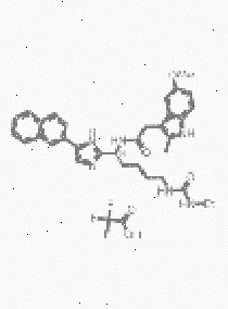 CCNC(=O)NCCCC[C@H](NC(=O)Cc1c(C)[nH]c2ccc(OC)cc12)c1ncc(-c2ccc3ccccc3c2)[nH]1.O=C(O)C(F)(F)F